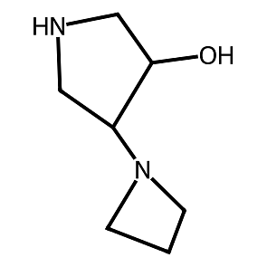 OC1CNCC1N1CCC1